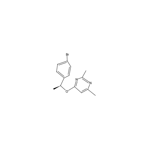 Cc1cc(O[C@@H](C)c2ccc(Br)cc2)nc(C)n1